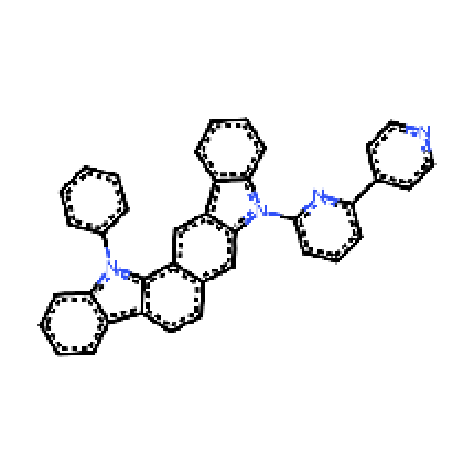 c1ccc(-n2c3ccccc3c3ccc4cc5c(cc4c32)c2ccccc2n5-c2cccc(-c3ccncc3)n2)cc1